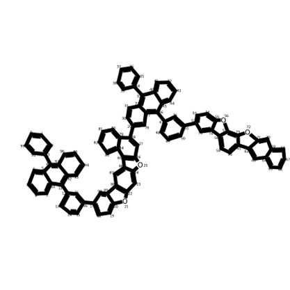 c1ccc(-c2c3ccccc3c(-c3cccc(-c4ccc5oc6cc7oc8cc(-c9ccc%10c(-c%11ccccc%11)c%11ccccc%11c(-c%11cccc(-c%12ccc%13oc%14c(ccc%15c%16cc%17ccccc%17cc%16oc%15%14)c%13c%12)c%11)c%10c9)c9ccccc9c8c7cc6c5c4)c3)c3ccccc23)cc1